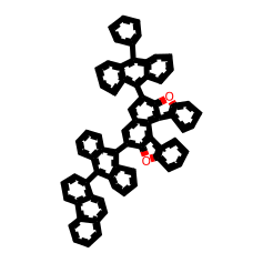 c1ccc(-c2c3ccccc3c(-c3cc4cc(-c5c6ccccc6c(-c6cccc7c6ccc6ccccc67)c6ccccc56)c5oc6ccccc6c5c4c4c3oc3ccccc34)c3ccccc23)cc1